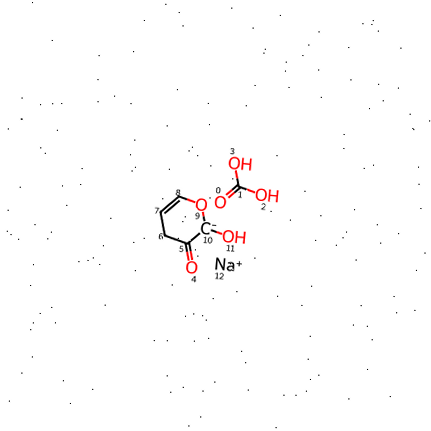 O=C(O)O.O=C1CC=CO[C-]1O.[Na+]